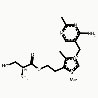 Cc1ncc(C[n+]2csc(CCOC(=O)[C@@H](N)CO)c2C)c(N)n1.[Mn]